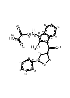 Cc1c(C(=O)C2CSN(c3cccnc3)C2)c2ccccc2n1C.O=C(O)C(=O)O